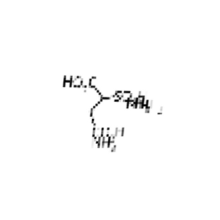 N.N.N.O=C(O)CC(C(=O)O)S(=O)(=O)O